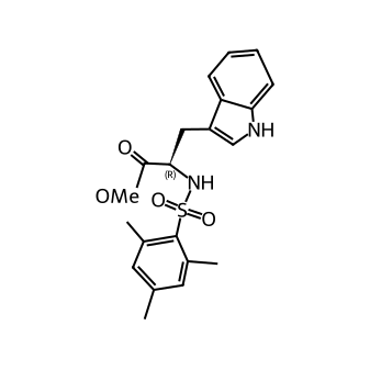 COC(=O)[C@@H](Cc1c[nH]c2ccccc12)NS(=O)(=O)c1c(C)cc(C)cc1C